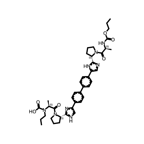 CCCOC(=O)N[C@@H](C)C(=O)N1CCC[C@H]1c1ncc(-c2ccc(-c3ccc(-c4c[nH]c([C@@H]5CCCN5C(=O)[C@H](C)N(CCC)C(=O)O)n4)cc3)cc2)[nH]1